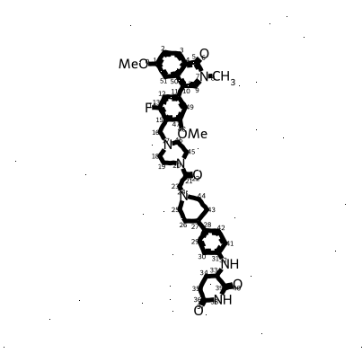 COc1ccc2c(=O)n(C)cc(-c3cc(F)c(CN4CCN(C(=O)CN5CCC(c6ccc(NC7CCC(=O)NC7=O)cc6)CC5)CC4)c(OC)c3)c2c1